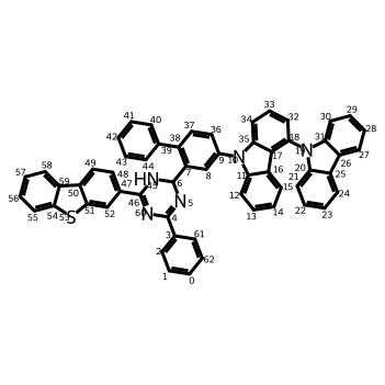 c1ccc(C2=NC(c3cc(-n4c5ccccc5c5c(-n6c7ccccc7c7ccccc76)cccc54)ccc3-c3ccccc3)NC(c3ccc4c(c3)sc3ccccc34)=N2)cc1